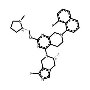 C[C@@H]1Cn2cnc(F)c2CN1c1nc(OC[C@@H]2CCCN2C)nc2c1CCN(c1cccc3cccc(F)c13)C2